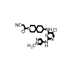 Cn1cc(Nc2ncc(Cl)c(NC3CCC4(CC3)CCN(C(=O)CC#N)CC4)n2)cn1